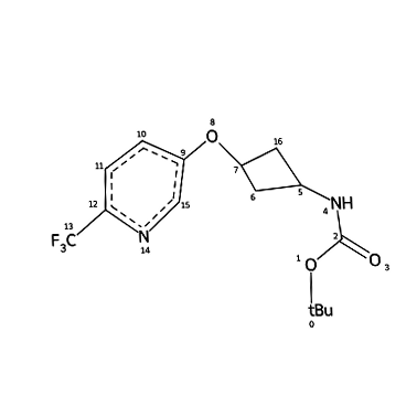 CC(C)(C)OC(=O)NC1CC(Oc2ccc(C(F)(F)F)nc2)C1